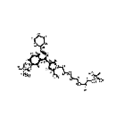 C[C@@H](COS(C)(=O)=O)OCCOCCn1cc(-c2nn(C3CCCCO3)c3ccc(O[Si](C)(C)C(C)(C)C)cc23)cc1C#N